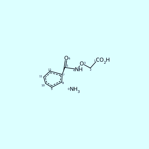 N.O=C(O)CONC(=O)c1ccccc1